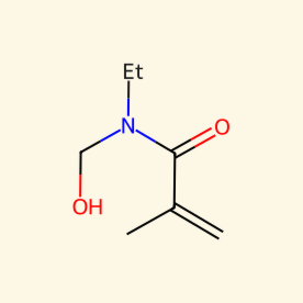 C=C(C)C(=O)N(CC)CO